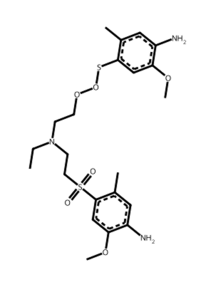 CCN(CCOOSc1cc(OC)c(N)cc1C)CCS(=O)(=O)c1cc(OC)c(N)cc1C